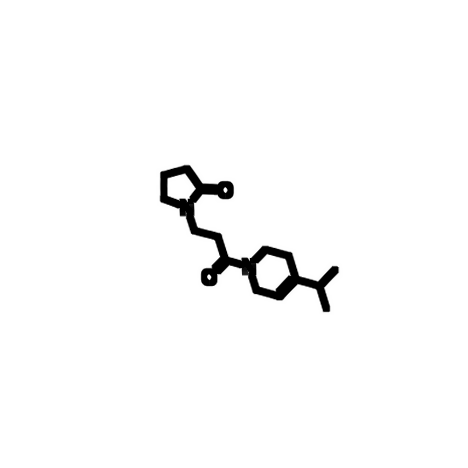 CC(C)C1=CCN(C(=O)CCN2CCCC2=O)CC1